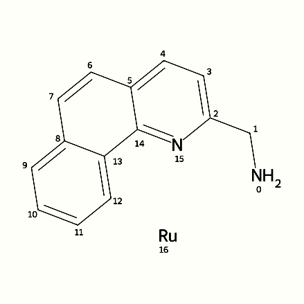 NCc1ccc2ccc3ccccc3c2n1.[Ru]